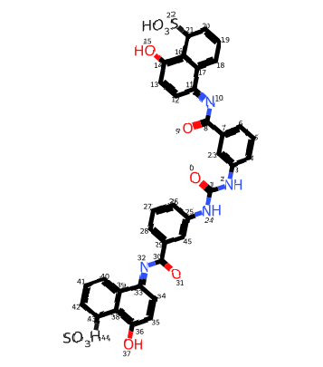 O=C(Nc1cccc(C(=O)N=C2C=CC(O)=C3C2=CC=CC3S(=O)(=O)O)c1)Nc1cccc(C(=O)N=C2C=CC(O)=C3C2=CC=CC3S(=O)(=O)O)c1